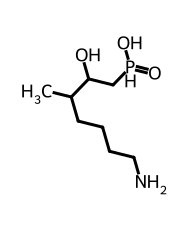 CC(CCCCN)C(O)C[PH](=O)O